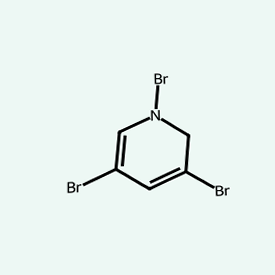 BrC1=CN(Br)CC(Br)=C1